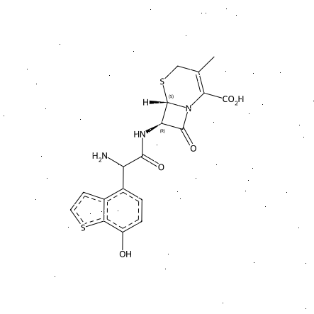 CC1=C(C(=O)O)N2C(=O)[C@@H](NC(=O)C(N)c3ccc(O)c4sccc34)[C@@H]2SC1